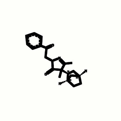 CC1=NN(CC(=O)c2ccccc2)C(=O)C1(C)[C@H]1C[C@H]2CC[C@@H]1C2